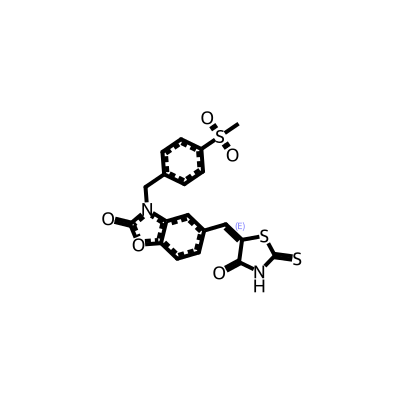 CS(=O)(=O)c1ccc(Cn2c(=O)oc3ccc(/C=C4/SC(=S)NC4=O)cc32)cc1